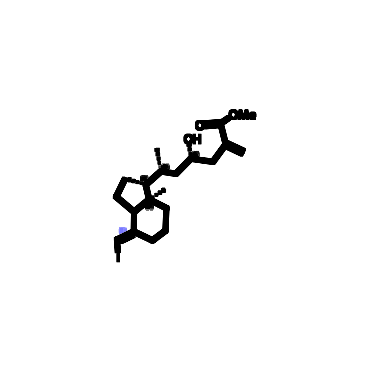 C=C(C[C@@H](O)C[C@@H](C)[C@H]1CCC2/C(=C/I)CCC[C@@]21C)C(=O)OC